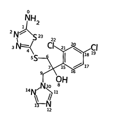 Nc1nnc(SCC(O)(Cn2cncn2)c2ccc(Cl)cc2Cl)s1